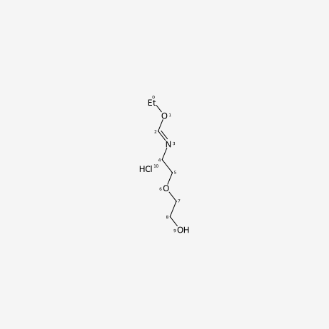 CCOC=NCCOCCO.Cl